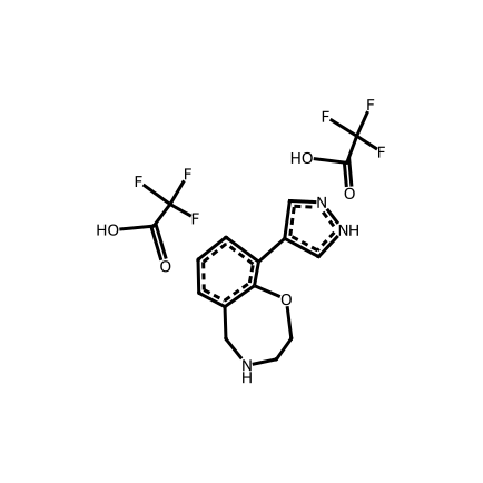 O=C(O)C(F)(F)F.O=C(O)C(F)(F)F.c1cc2c(c(-c3cn[nH]c3)c1)OCCNC2